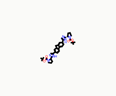 CC(C)(C)OC(=O)N1CCCC1c1ncc(-c2ccc3c(c2)Cc2cc(-c4cnc([C@@H]5CCCN5C(=O)OC(C)(C)C)[nH]4)ccc2-3)[nH]1